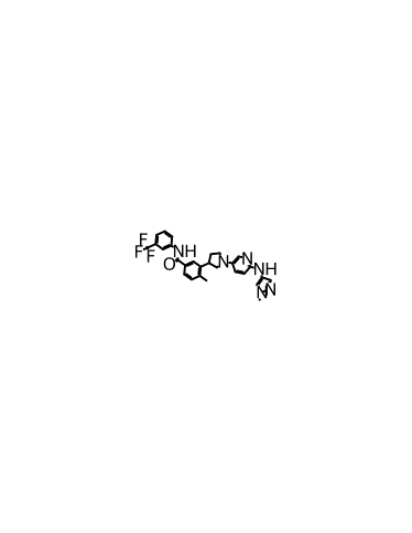 Cc1ccc(C(=O)Nc2cccc(C(F)(F)F)c2)cc1C1CCN(c2ccc(Nc3cnn(C)c3)nc2)C1